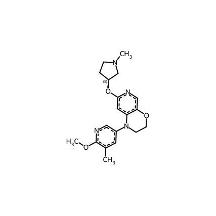 COc1ncc(N2CCOc3cnc(O[C@H]4CCN(C)C4)cc32)cc1C